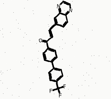 O=C(/C=C/c1ccc2nccnc2c1)c1ccc(-c2ccc(C(F)(F)F)cc2)cc1